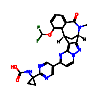 CN1C(=O)c2cccc(OC(F)F)c2[C@H]2C[C@@H]1c1nn3ccc(-c4cnc(C5(NC(=O)O)CC5)nc4)nc3c12